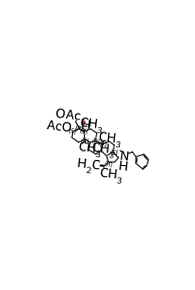 C=C(C)[C@@H]1CC[C@]2(CNCc3ccccc3)CC[C@]3(C)C(CCC4[C@@]5(C)CC[C@H](OC(C)=O)[C@@](C)(COC(C)=O)[C@@H]5CC[C@]43C)C12